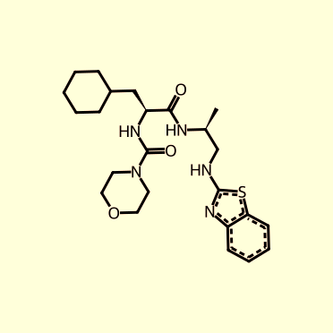 C[C@@H](CNc1nc2ccccc2s1)NC(=O)[C@H](CC1CCCCC1)NC(=O)N1CCOCC1